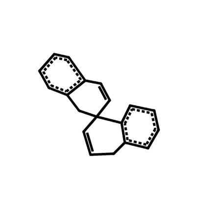 C1=CC2(C=Cc3ccccc3C2)c2ccccc2C1